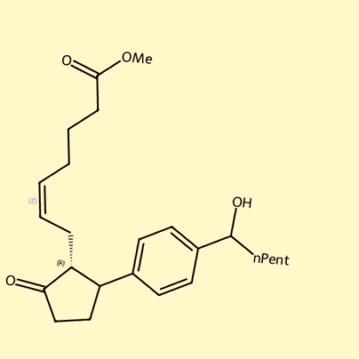 CCCCCC(O)c1ccc(C2CCC(=O)[C@@H]2C/C=C\CCCC(=O)OC)cc1